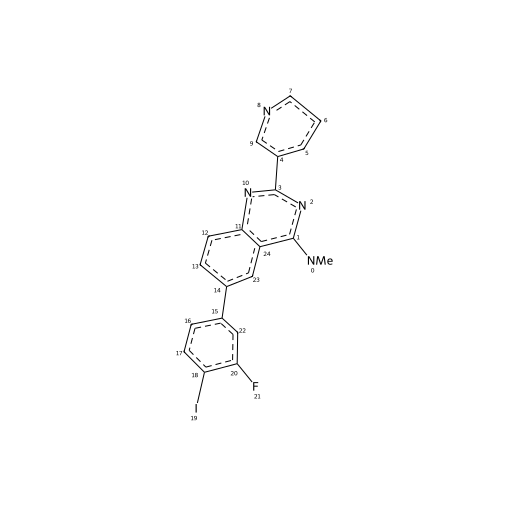 CNc1nc(-c2cccnc2)nc2ccc(-c3ccc(I)c(F)c3)cc12